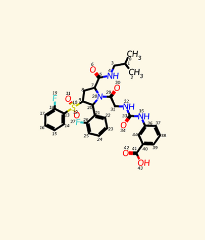 CC(C)CNC(=O)C1CC(S(=O)(=O)c2ccccc2F)C(c2ccccc2F)N1C(=O)CNC(=O)Nc1cccc(C(=O)O)c1